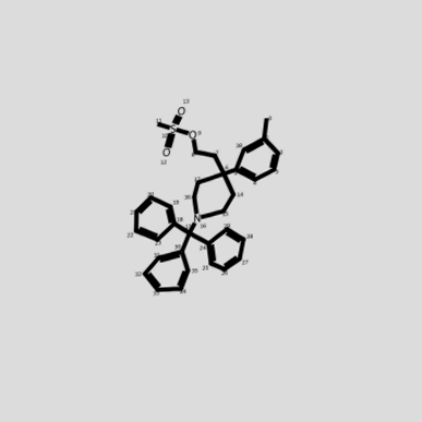 Cc1cccc(C2(CCOS(C)(=O)=O)CCN(C(c3ccccc3)(c3ccccc3)c3ccccc3)CC2)c1